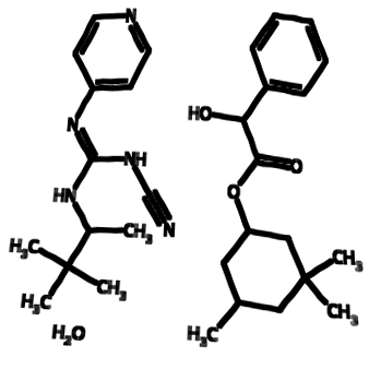 CC(N/C(=N/c1ccncc1)NC#N)C(C)(C)C.CC1CC(OC(=O)C(O)c2ccccc2)CC(C)(C)C1.O